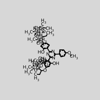 CCC(Oc1ccc(-c2nc(-c3ccc(OC)cc3)nc(-c3ccc(OC(CC)[Si](O[Si](C)(C)C)(O[Si](C)(C)C)O[Si](C)(C)C)cc3O)n2)c(O)c1)[Si](O[Si](C)(C)C)(O[Si](C)(C)C)O[Si](C)(C)C